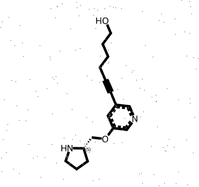 OCCCCC#Cc1cncc(OC[C@@H]2CCCN2)c1